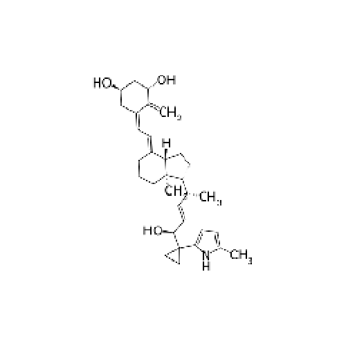 C=C1/C(=C\C=C2/CCC[C@]3(C)[C@@H]([C@H](C)/C=C/[C@H](O)C4(c5ccc(C)[nH]5)CC4)CC[C@@H]23)C[C@@H](O)C[C@@H]1O